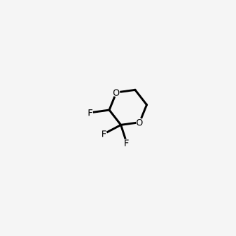 FC1OCCOC1(F)F